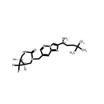 CC(C)(CC[C@H](N)c1cn2ncc(CN3C[C@@H]4[C@H](CNC3=O)C4(F)F)cc2n1)C(F)(F)F